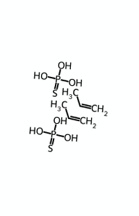 C=CC.C=CC.OP(O)(O)=S.OP(O)(O)=S